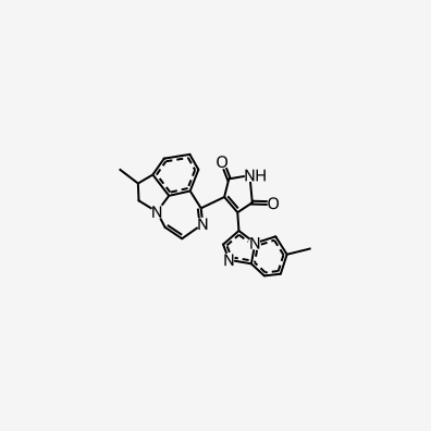 Cc1ccc2ncc(C3=C(C4=NC=CN5CC(C)c6cccc4c65)C(=O)NC3=O)n2c1